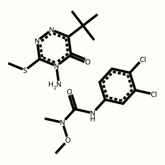 CON(C)C(=O)Nc1ccc(Cl)c(Cl)c1.CSc1nnc(C(C)(C)C)c(=O)n1N